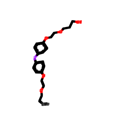 COCCOCCOc1ccc([I+]c2ccc(OCCOCCCO)cc2)cc1